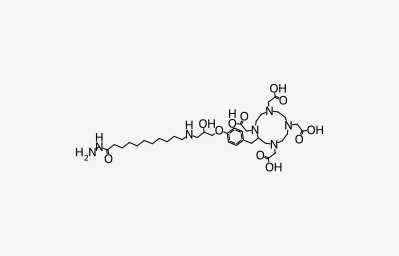 NNC(=O)CCCCCCCCCCNCC(O)COc1ccc(CC2CN(CC(=O)O)CCN(CC(=O)O)CCN(CC(=O)O)CCN2CC(=O)O)cc1